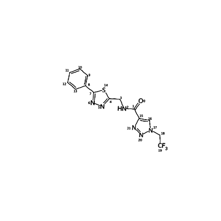 O=C(NCc1nnc(-c2ccccc2)s1)c1cn(CC(F)(F)F)nn1